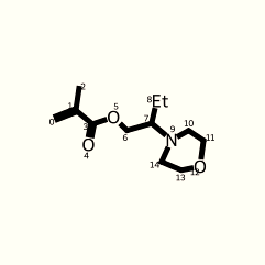 C=C(C)C(=O)OCC(CC)N1CCOCC1